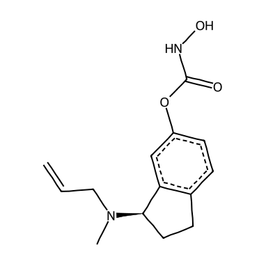 C=CCN(C)[C@@H]1CCc2ccc(OC(=O)NO)cc21